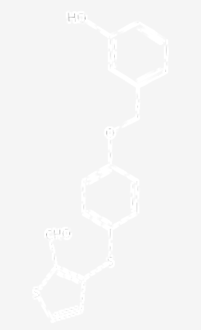 O=Cc1sccc1Sc1ccc(OCc2cccc(O)c2)cc1